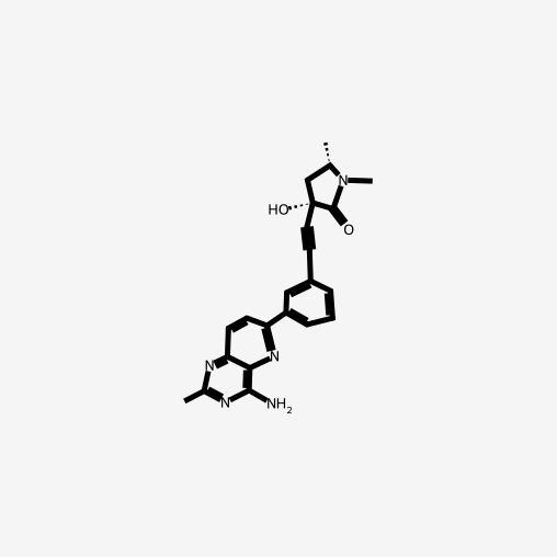 Cc1nc(N)c2nc(-c3cccc(C#C[C@@]4(O)C[C@H](C)N(C)C4=O)c3)ccc2n1